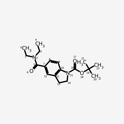 CCN(CC)C(=O)c1ccc2c(c1)CCN2C(=O)OC(C)(C)C